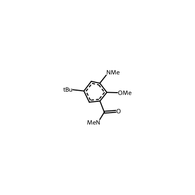 CNC(=O)c1cc(C(C)(C)C)cc(NC)c1OC